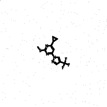 CSc1nc(C2CC2)cc(-n2cc(C(F)(F)F)cn2)n1